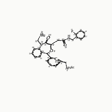 CC(=O)NCc1cccc(C2OC(CC(=O)NCc3ccccc3F)C(=O)N(CC(C)(C)C)c3ccccc32)c1